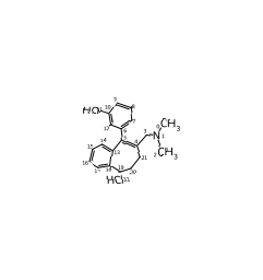 CN(C)CC1=C(c2cccc(O)c2)c2ccccc2CCC1.Cl